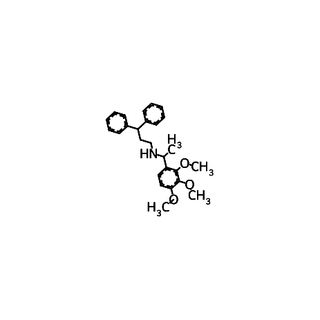 COc1ccc(C(C)NCCC(c2ccccc2)c2ccccc2)c(OC)c1OC